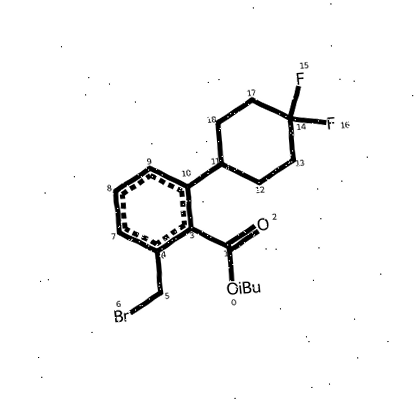 CC(C)COC(=O)c1c(CBr)cccc1C1CCC(F)(F)CC1